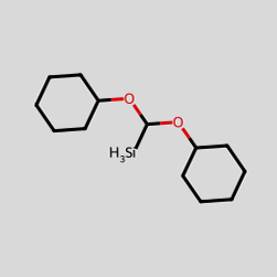 [SiH3]C(OC1CCCCC1)OC1CCCCC1